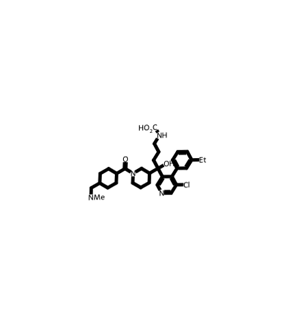 CCc1cccc(-c2c(Cl)cncc2C(O)(CCCNC(=O)O)C2CCCN(C(=O)C3CCC(CNC)CC3)C2)c1